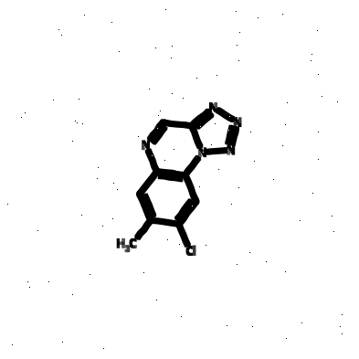 Cc1cc2ncc3nnnn3c2cc1Cl